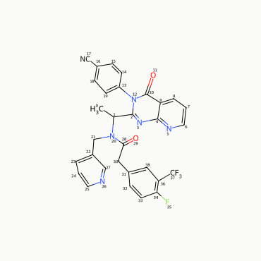 CC(c1nc2ncccc2c(=O)n1-c1ccc(C#N)cc1)N(Cc1cccnc1)C(=O)Cc1ccc(F)c(C(F)(F)F)c1